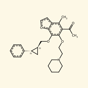 CC(=O)c1c(OCCN2CCCCC2)c(OC[C@H]2C[C@@H]2c2ccccc2)c2occc2c1C